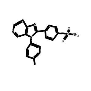 Cc1ccc(-n2c(-c3ccc(S(N)(=O)=O)cc3)nc3ccncc32)cc1